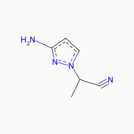 CC(C#N)n1ccc(N)n1